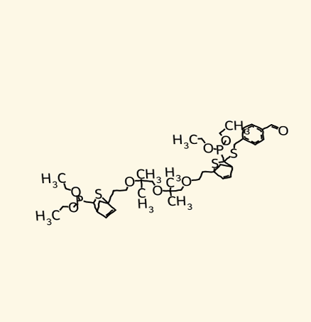 CCOP(OCC)C1SC2(CCOC(C)(C)COC(C)(C)COCCC34C=CC(C3)C(SCc3ccc(C=O)cc3)(P(OCC)OCC)S4)C=CC1C2